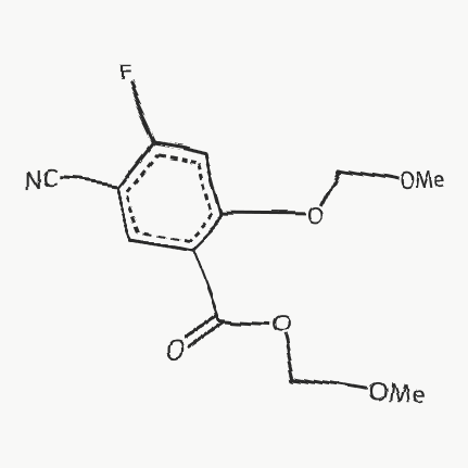 COCOC(=O)c1cc(C#N)c(F)cc1OCOC